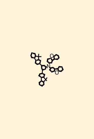 CC1(C)c2ccccc2-c2ccc(-c3cc(-c4ccc5c(c4)C(C)(C)c4ccccc4-5)cc(N(c4ccc5oc6ccccc6c5c4)c4ccc5oc6ccccc6c5c4)c3)cc21